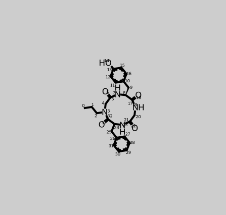 CCCN1CC(=O)N[C@@H](Cc2ccc(O)cc2)C(=O)NCC(=O)NC(Cc2ccccc2)C1=O